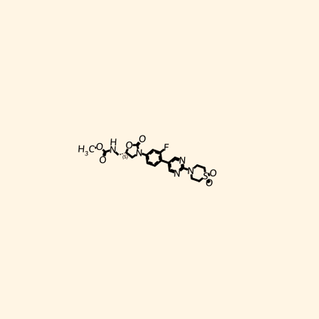 COC(=O)NC[C@H]1CN(c2ccc(-c3cnc(N4CCS(=O)(=O)CC4)nc3)c(F)c2)C(=O)O1